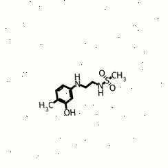 Cc1ccc(NCCNS(C)(=O)=O)cc1O